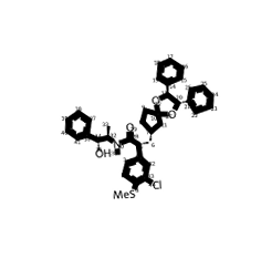 CSc1ccc([C@@H](C[C@@H]2CCC3(C2)O[C@@H](c2ccccc2)[C@H](c2ccccc2)O3)C(=O)N(C)[C@H](C)[C@H](O)c2ccccc2)cc1Cl